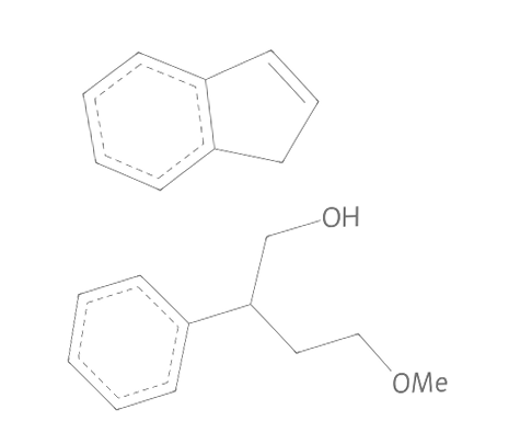 C1=Cc2ccccc2C1.COCCC(CO)c1ccccc1